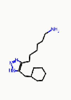 NCCCCCCc1nn[nH]c1CC1CCCCC1